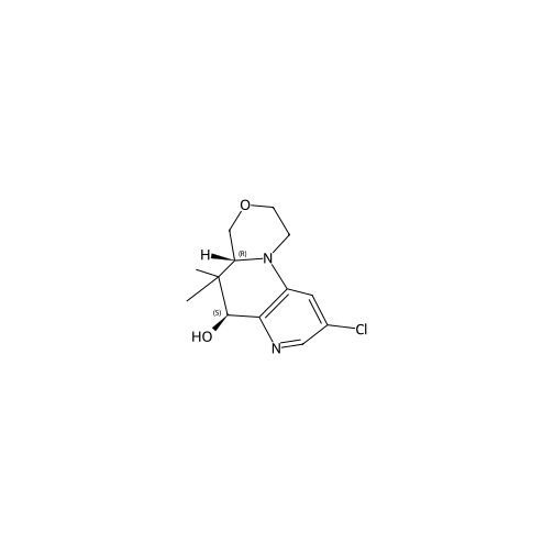 CC1(C)[C@H](O)c2ncc(Cl)cc2N2CCOC[C@H]21